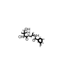 CC(CNC(=O)C(N=O)C(C)(C)CO)NC(=O)c1cccc(F)c1